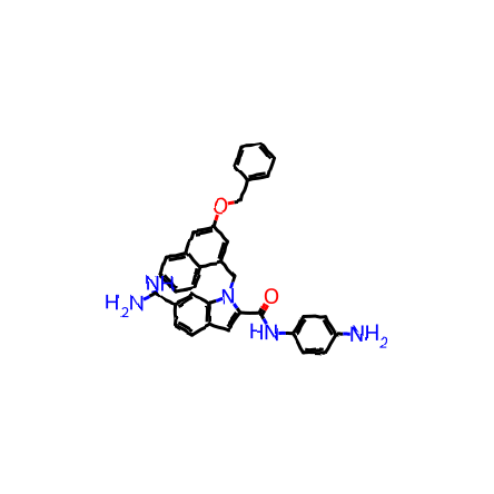 N=C(N)c1ccc2cc(C(=O)Nc3ccc(N)cc3)n(Cc3cc(OCc4ccccc4)cc4ccccc34)c2c1